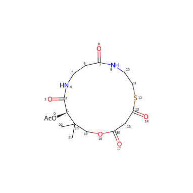 CC(=O)O[C@H]1C(=O)NCCC(=O)NCCSC(=O)CC(=O)OCC1(C)C